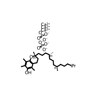 Cc1c(C)c2c(c(C)c1O)CC[C@@](C)(CCC[C@H](C)CCC[C@H](C)CCCC(C)C)O2.O=P([O-])([O-])[O-].O=P([O-])([O-])[O-].[Ca+2].[Ca+2].[Ca+2]